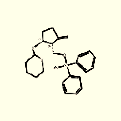 C=C1[CH]C[C@H](OC2CCCCO2)[C@H]1CO[Si](c1ccccc1)(c1ccccc1)C(C)(C)C